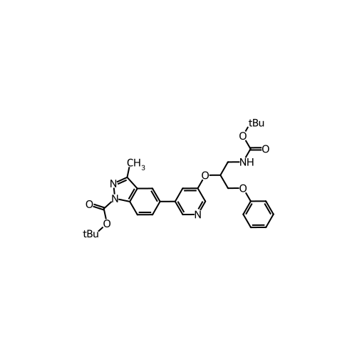 Cc1nn(C(=O)OC(C)(C)C)c2ccc(-c3cncc(OC(CNC(=O)OC(C)(C)C)COc4ccccc4)c3)cc12